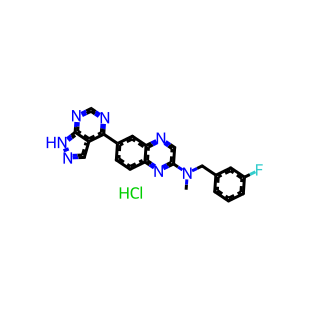 CN(Cc1cccc(F)c1)c1cnc2cc(-c3ncnc4[nH]ncc34)ccc2n1.Cl